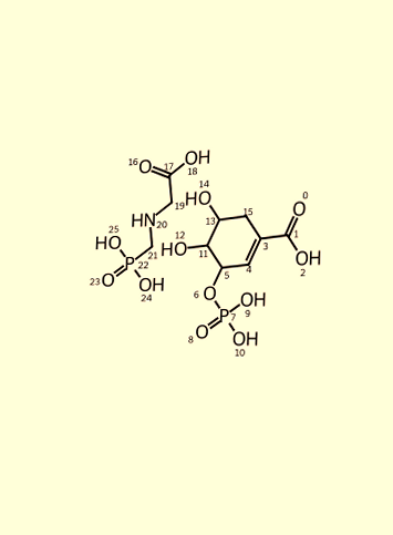 O=C(O)C1=CC(OP(=O)(O)O)C(O)C(O)C1.O=C(O)CNCP(=O)(O)O